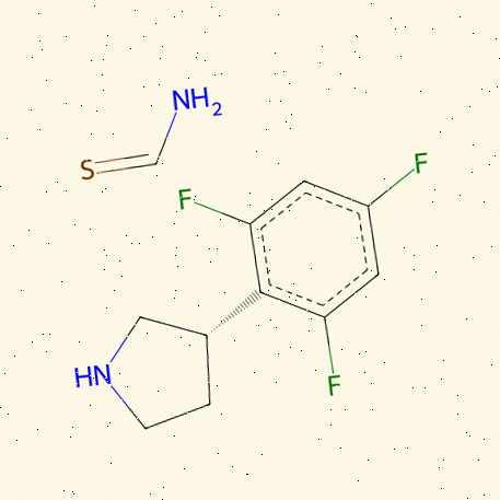 Fc1cc(F)c([C@@H]2CCNC2)c(F)c1.NC=S